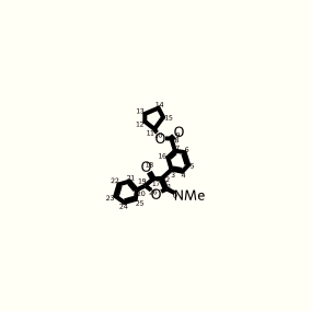 CNC1=C(c2cccc(C(=O)OC3CCCC3)c2)C(=O)C(c2ccccc2)O1